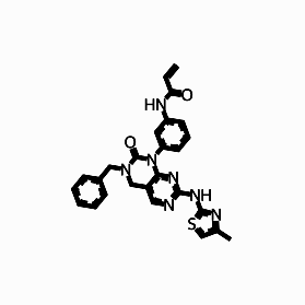 C=CC(=O)Nc1cccc(N2C(=O)N(Cc3ccccc3)Cc3cnc(Nc4nc(C)cs4)nc32)c1